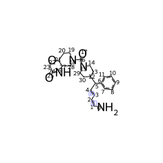 N/C=C\C=C\C(c1ccccc1)C1CCN(C(=O)N2CCC3OCC(=O)NC3C2)CC1